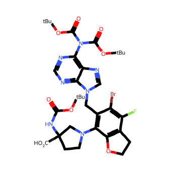 CC(C)(C)OC(=O)NC1(C(=O)O)CCN(c2c(Cn3cnc4c(N(C(=O)OC(C)(C)C)C(=O)OC(C)(C)C)ncnc43)c(Br)c(F)c3c2OCC3)C1